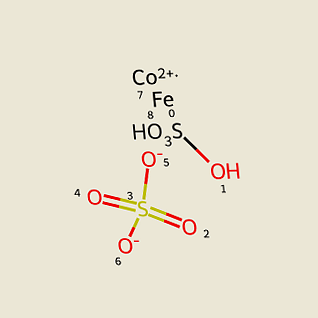 O=S(=O)(O)O.O=S(=O)([O-])[O-].[Co+2].[Fe]